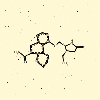 CC[C@@H]1CC(=O)N[C@@H]1COc1nccc2cc(C(N)=O)c3ncccc3c12